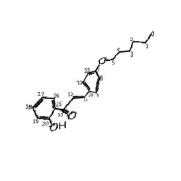 CCCCCCOc1ccc(/C=C/C(=O)c2ccccc2O)cc1